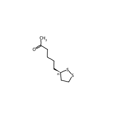 CC(=O)CCCC[C@@H]1CCSS1